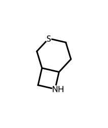 C1CC2NCC2CS1